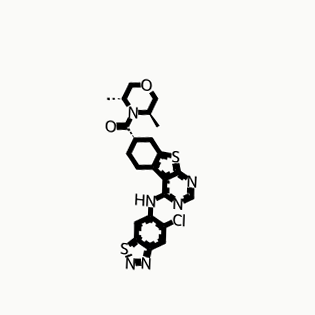 C[C@@H]1COC[C@@H](C)N1C(=O)[C@H]1CCc2c(sc3ncnc(Nc4cc5snnc5cc4Cl)c23)C1